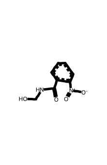 O=C(NCO)c1ccccc1[N+](=O)[O-]